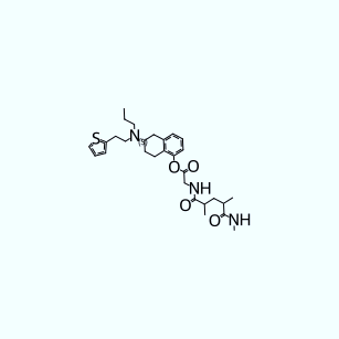 CCCN(CCc1cccs1)[C@H]1CCc2c(cccc2OC(=O)CNC(=O)C(C)CC(C)C(=O)NC)C1